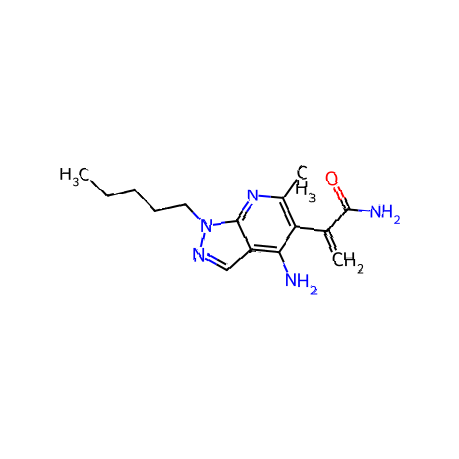 C=C(C(N)=O)c1c(C)nc2c(cnn2CCCCC)c1N